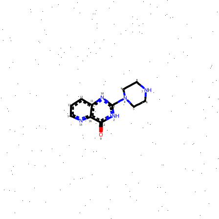 O=c1[nH]c(N2CCNCC2)nc2cccnc12